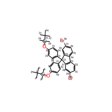 CC(C)(C)[Si](C)(C)Oc1ccc(C2(c3ccc(O[Si](C)(C)C(C)(C)C)cc3)c3cc(Br)ccc3-c3ccc(Br)cc32)cc1